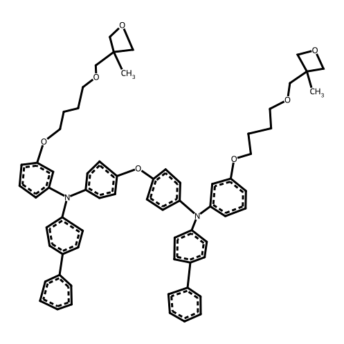 CC1(COCCCCOc2cccc(N(c3ccc(Oc4ccc(N(c5ccc(-c6ccccc6)cc5)c5cccc(OCCCCOCC6(C)COC6)c5)cc4)cc3)c3ccc(-c4ccccc4)cc3)c2)COC1